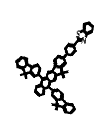 CC1(C)c2ccccc2-c2ccc(-c3c4ccccc4c(-c4ccc5c(c4)C(C)(C)c4ccccc4-5)c4cc5c(cc34)-c3ccc(-c4ccc(-c6nc7ccccc7s6)cc4)cc3C5(C)C)cc21